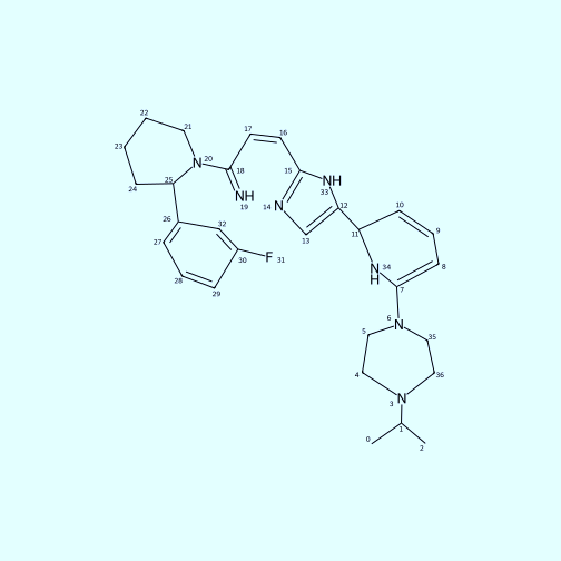 CC(C)N1CCN(C2=CC=CC(c3cnc(/C=C\C(=N)N4CCCCC4c4cccc(F)c4)[nH]3)N2)CC1